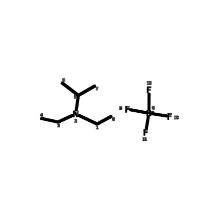 CCN(CC)C(C)C.F[B-](F)(F)F